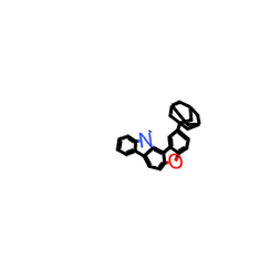 Cn1c2ccccc2c2ccc3oc4ccc(C56CC7CC(CC(C7)C5)C6)cc4c3c21